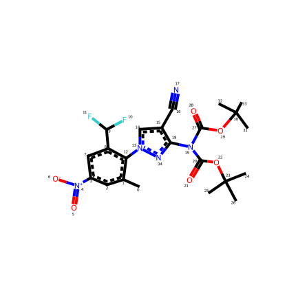 Cc1cc([N+](=O)[O-])cc(C(F)F)c1-n1cc(C#N)c(N(C(=O)OC(C)(C)C)C(=O)OC(C)(C)C)n1